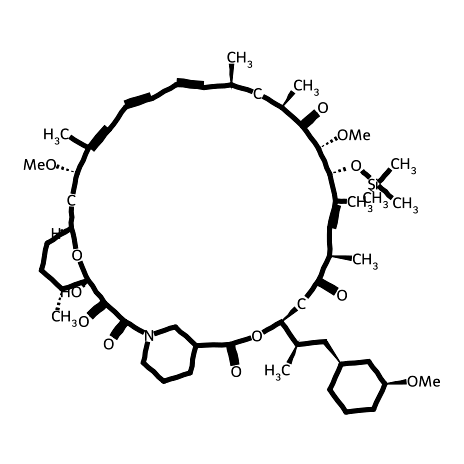 CO[C@H]1CCC[C@@H](C[C@@H](C)[C@@H]2CC(=O)[C@H](C)/C=C(\C)[C@@H](O[Si](C)(C)C)[C@@H](OC)C(=O)[C@H](C)C[C@H](C)/C=C/C=C/C=C(\C)[C@@H](OC)C[C@@H]3CC[C@@H](C)[C@@](O)(O3)C(=O)C(=O)N3CCCC(C3)C(=O)O2)C1